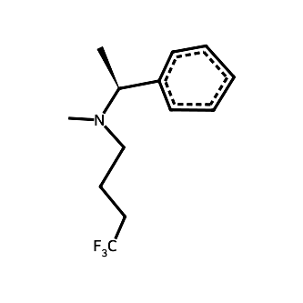 C[C@@H](c1ccccc1)N(C)CCCC(F)(F)F